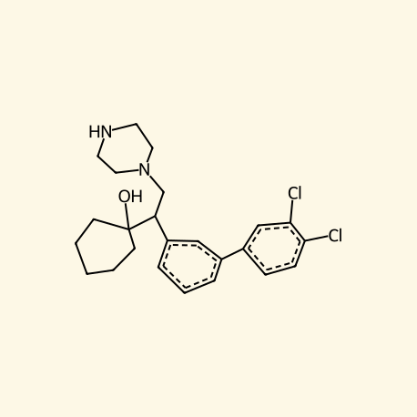 OC1(C(CN2CCNCC2)c2cccc(-c3ccc(Cl)c(Cl)c3)c2)CCCCC1